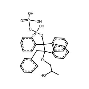 CC(O)COC(Cc1ccccc1)(c1ccccc1)C(OP(=O)(O)OP(=O)(O)O)(c1ccccc1)c1ccccc1